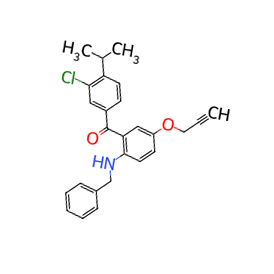 C#CCOc1ccc(NCc2ccccc2)c(C(=O)c2ccc(C(C)C)c(Cl)c2)c1